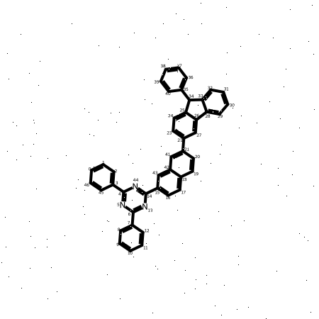 c1ccc(-c2nc(-c3ccccc3)nc(-c3ccc4ccc(-c5ccc6c(c5)-c5ccccc5C6c5ccccc5)cc4c3)n2)cc1